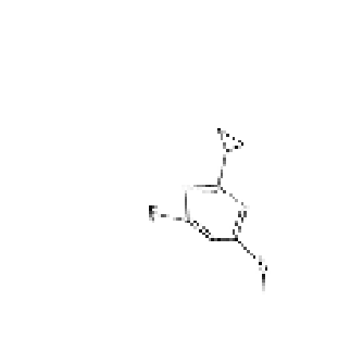 CSc1cc(F)cc(C2CC2)c1